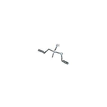 C=CC[Si](C)(CC)OC=C